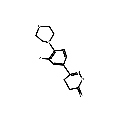 O=C1CCC(c2ccc(N3CCOCC3)c(Cl)c2)=NN1